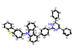 C1=C(c2ccccc2)N=C(c2ccc(-c3cccc4c3c3ccccc3n4-c3ccc4sc5ccccc5c4c3)cc2)NC1c1ccccc1